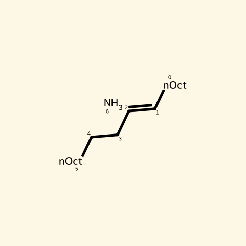 CCCCCCCCC=CCCCCCCCCCC.N